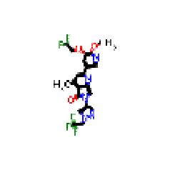 COc1ncc(-c2cc(C)c3c(n2)CN(c2cnn(CC(F)(F)F)c2)C3=O)cc1OCC(F)F